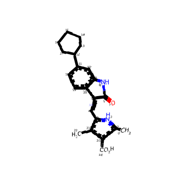 Cc1[nH]c(/C=C2\C(=O)Nc3cc(C4CCCCC4)ccc32)c(C)c1C(=O)O